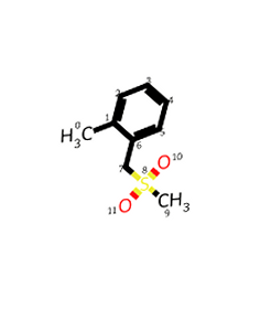 Cc1ccccc1CS(C)(=O)=O